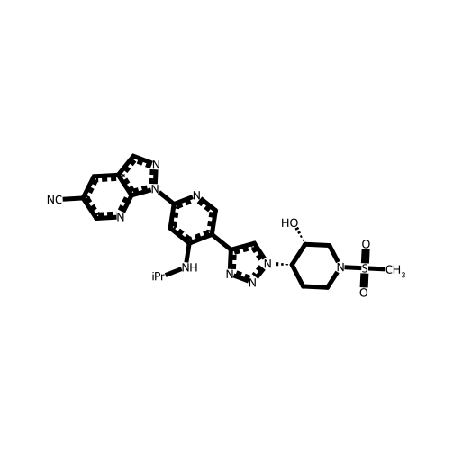 CC(C)Nc1cc(-n2ncc3cc(C#N)cnc32)ncc1-c1cn([C@H]2CCN(S(C)(=O)=O)C[C@H]2O)nn1